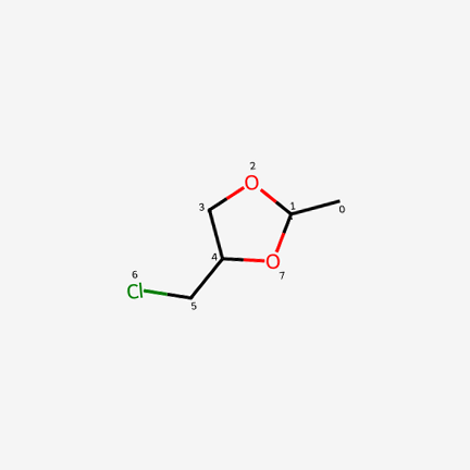 C[C]1OCC(CCl)O1